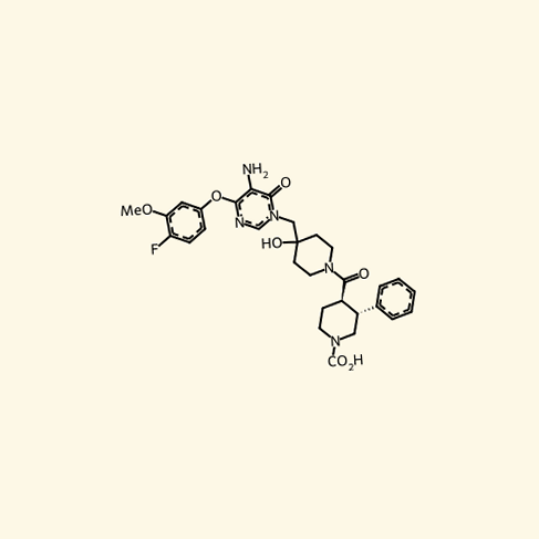 COc1cc(Oc2ncn(CC3(O)CCN(C(=O)[C@@H]4CCN(C(=O)O)C[C@H]4c4ccccc4)CC3)c(=O)c2N)ccc1F